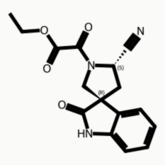 CCOC(=O)C(=O)N1C[C@]2(C[C@H]1C#N)C(=O)Nc1ccccc12